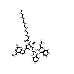 C#C[C@]1(CO[P@@](=O)(N[C@@H](Cc2ccccc2)C(=O)OC(C)C)Oc2ccccc2)O[C@@H](n2cnc3c(N)nc(F)nc32)C[C@@H]1OC(=O)CCCCCCCCCCCCC